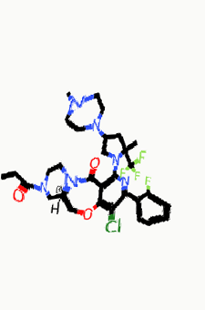 C=CC(=O)N1CCN2C(=O)c3c(N4CC(N5CCN(C)CC5)CC4(C)C(F)(F)F)nc(-c4ccccc4F)c(Cl)c3OC[C@H]2C1